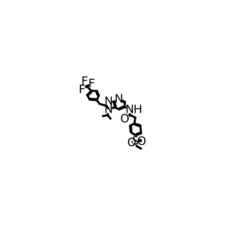 CCS(=O)(=O)c1ccc(CC(=O)Nc2cnc3nc(Cc4ccc(C(F)(F)F)cc4)n(C(C)C)c3c2)cc1